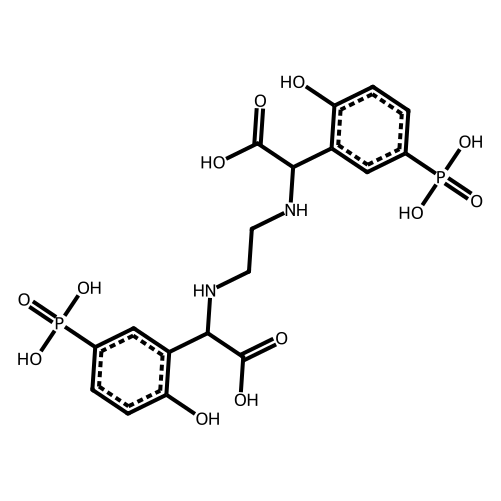 O=C(O)C(NCCNC(C(=O)O)c1cc(P(=O)(O)O)ccc1O)c1cc(P(=O)(O)O)ccc1O